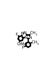 COc1cc(F)c2nnc3c(C)nc(-c4cc(F)ccc4C)n3c2c1